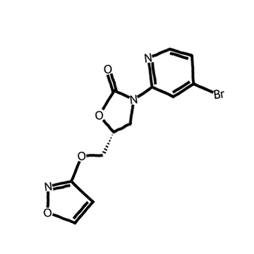 O=C1O[C@@H](COc2ccon2)CN1c1cc(Br)ccn1